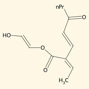 CC=C(C=CC(=O)CCC)C(=O)OC=CO